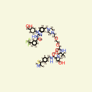 Cc1ncsc1-c1ccc(CNC(=O)[C@@H]2C[C@@H](O)CN2C(=O)[C@@H](NC(=O)COCCOCCN2CCN(Cc3ccc4c(c3)nc(NC(=O)c3cccc(C(F)(F)F)c3)n4C3CCC(CO)CC3)CC2)C(C)(C)C)cc1